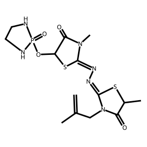 C=C(C)CN1C(=O)C(C)SC1=NN=C1SC(OP2(=O)NCCN2)C(=O)N1C